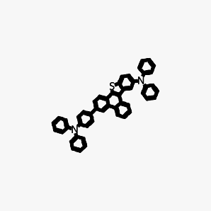 c1ccc(N(c2ccccc2)c2ccc(-c3ccc4c(c3)c3ccccc3c3c5cc(N(c6ccccc6)c6ccccc6)ccc5sc43)cc2)cc1